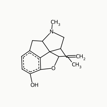 C=CC1CN(C)C2Cc3ccc(O)c4c3C12C(CC)O4